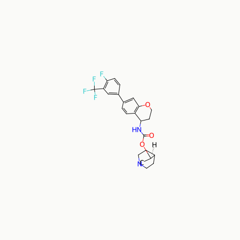 O=C(NC1CCOc2cc(-c3ccc(F)c(C(F)(F)F)c3)ccc21)O[C@@H]1CN2CCC1CC2